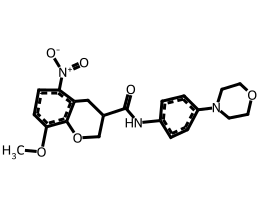 COc1ccc([N+](=O)[O-])c2c1OCC(C(=O)Nc1ccc(N3CCOCC3)cc1)C2